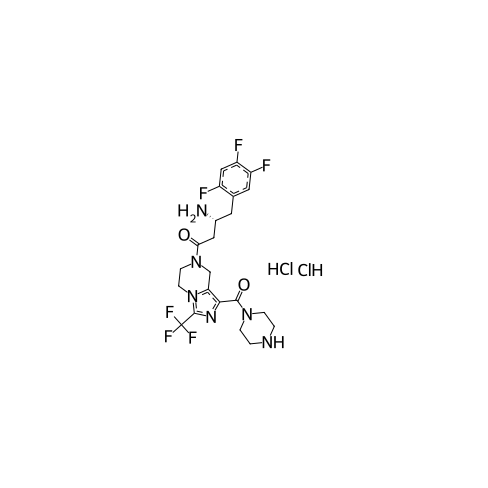 Cl.Cl.N[C@@H](CC(=O)N1CCn2c(C(F)(F)F)nc(C(=O)N3CCNCC3)c2C1)Cc1cc(F)c(F)cc1F